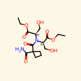 CCOC(=O)[C@@H](CO)N(C(=O)C1(C(N)=O)CCC1)[C@H](CO)C(=O)OCC